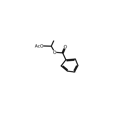 CC(=O)OC(C)OC(=O)c1cc[c]cc1